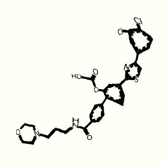 O=C(O)Oc1cc(-c2nc(-c3ccc(Cl)c(Cl)c3)cs2)ccc1-c1ccc(C(=O)NCCCN2CCOCC2)cc1